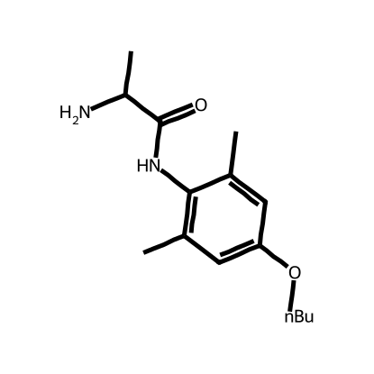 CCCCOc1cc(C)c(NC(=O)C(C)N)c(C)c1